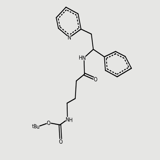 CC(C)(C)OC(=O)NCCCC(=O)NC(Cc1ccccn1)c1ccccc1